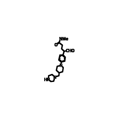 CNC(=O)CCC(C=O)c1ccc(N2CCC(CN3CCNCC3)CC2)cc1